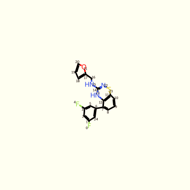 Fc1cc(F)cc(-c2cccc3c2NC(NCc2ccco2)=NS3)c1